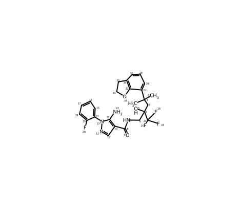 CC(C)(CC(O)(CNC(=O)c1cnn(-c2ccccc2F)c1N)C(F)(F)F)c1cccc2c1OCC2